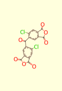 O=C(c1cc2c(cc1Cl)C(=O)OC2=O)c1cc2c(cc1Cl)C(=O)OC2=O